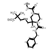 CCOC(=O)C(C)(C)CNCC1(C)CN(C(=O)OC(C)(C)C)CCN1C(=O)OCc1ccccc1